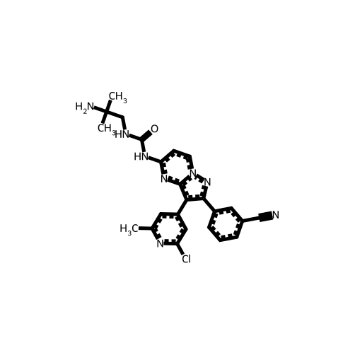 Cc1cc(-c2c(-c3cccc(C#N)c3)nn3ccc(NC(=O)NCC(C)(C)N)nc23)cc(Cl)n1